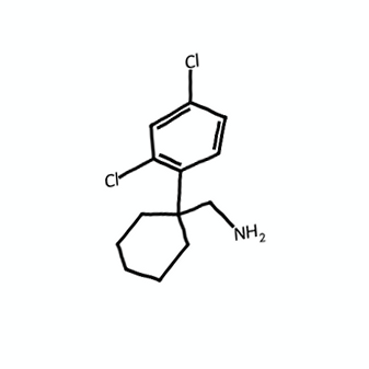 NCC1(c2ccc(Cl)cc2Cl)CCCCC1